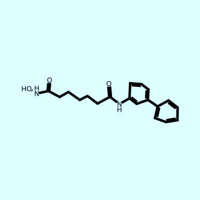 O=C(CCCCCC(=O)Nc1cccc(-c2ccccc2)c1)NO